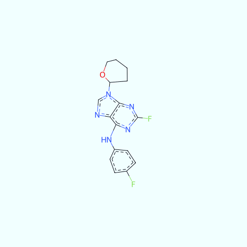 Fc1ccc(Nc2nc(F)nc3c2ncn3C2CCCCO2)cc1